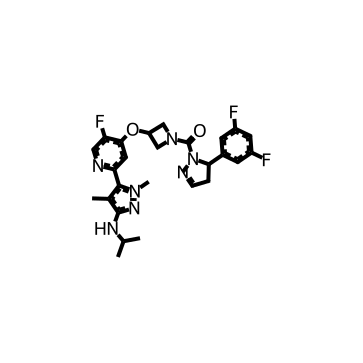 Cc1c(NC(C)C)nn(C)c1-c1cc(OC2CN(C(=O)N3N=CCC3c3cc(F)cc(F)c3)C2)c(F)cn1